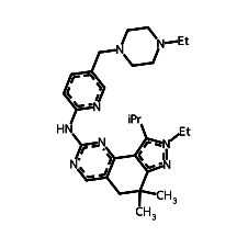 CCN1CCN(Cc2ccc(Nc3ncc4c(n3)-c3c(nn(CC)c3C(C)C)C(C)(C)C4)nc2)CC1